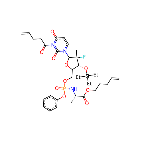 C=CCCCOC(=O)[C@H](C)N[P@](=O)(OCC1OC(n2ccc(=O)n(C(=O)CCC=C)c2=O)[C@](C)(F)[C@@H]1O[Si](CC)(CC)CC)Oc1ccccc1